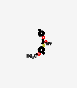 CCCOC(COc1ccc(C)cc1)CSc1ccc(OCC(=O)O)c(C)c1